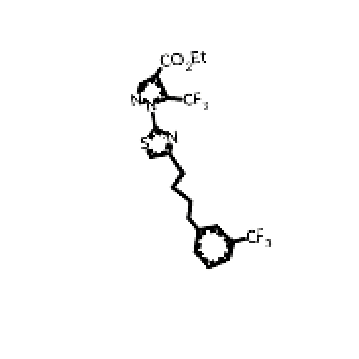 CCOC(=O)c1cnn(-c2nc(CCCCc3cccc(C(F)(F)F)c3)cs2)c1C(F)(F)F